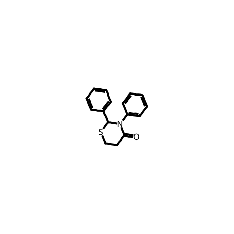 O=C1CCSC(c2ccccc2)N1c1ccccc1